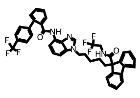 O=C(Nc1cccc2c1ncn2CCCCCC1(C(=O)NCC(F)(F)F)c2ccccc2-c2ccccc21)c1ccccc1-c1ccc(C(F)(F)F)cc1